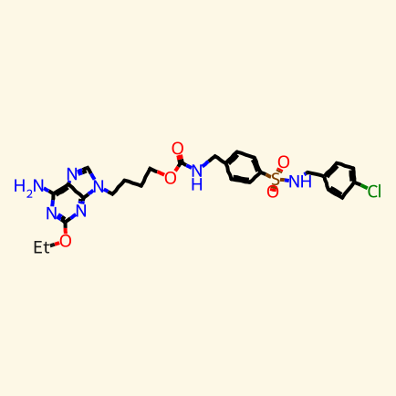 CCOc1nc(N)c2ncn(CCCCOC(=O)NCc3ccc(S(=O)(=O)NCc4ccc(Cl)cc4)cc3)c2n1